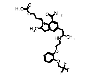 CC(=O)OCCCN1c2c(cc(C[C@@H](C)NCCOc3ccccc3OCC(F)(F)F)cc2C(N)=O)CC1C